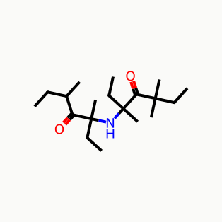 CCC(C)C(=O)C(C)(CC)NC(C)(CC)C(=O)C(C)(C)CC